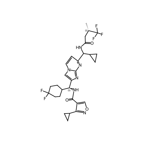 C[C@@H](CC(=O)NC(c1ccn2cc([C@@H](NC(=O)c3conc3C3CC3)C3CCC(F)(F)CC3)nc2n1)C1CC1)C(F)(F)F